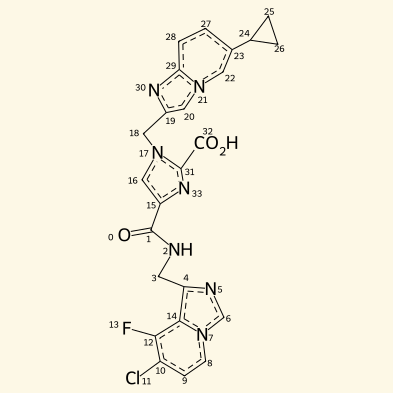 O=C(NCc1ncn2ccc(Cl)c(F)c12)c1cn(Cc2cn3cc(C4CC4)ccc3n2)c(C(=O)O)n1